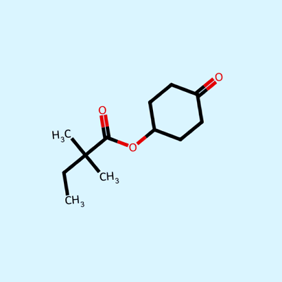 CCC(C)(C)C(=O)OC1CCC(=O)CC1